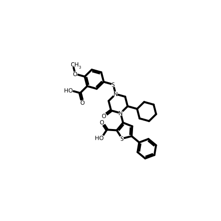 COc1ccc(SN2CC(=O)N(c3cc(-c4ccccc4)sc3C(=O)O)C(C3CCCCC3)C2)cc1C(=O)O